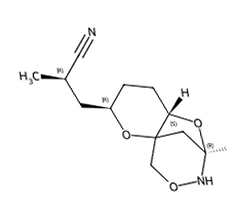 C[C@@H](C#N)C[C@H]1CC[C@@H]2O[C@@H]3CC2(CON3)O1